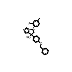 Cc1ccc([C@H]2C[C@](O)(c3ccc(OCc4ccccc4)cc3)c3cncn32)c(F)c1